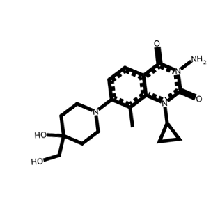 Cc1c(N2CCC(O)(CO)CC2)ccc2c(=O)n(N)c(=O)n(C3CC3)c12